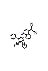 [C-]#[N+]c1c(N2CCCC2)sc(/C=c2/ccc(=C(C#N)C#N)c3ccccc23)c1-c1ccccc1